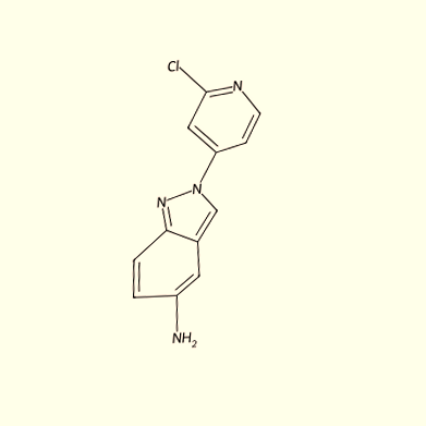 Nc1ccc2nn(-c3ccnc(Cl)c3)cc2c1